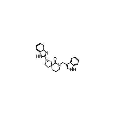 O=C1N(Cc2c[nH]c3ccccc23)CCCC12CCN(c1nc3ccccc3[nH]1)C2